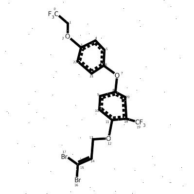 FC(F)(F)COc1ccc(Oc2ccc(OCC=C(Br)Br)c(C(F)(F)F)c2)cc1